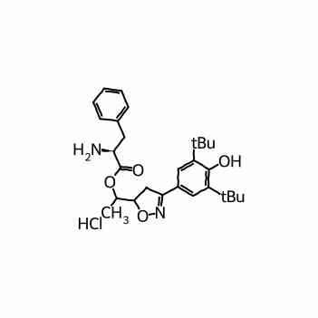 CC(OC(=O)[C@@H](N)Cc1ccccc1)C1CC(c2cc(C(C)(C)C)c(O)c(C(C)(C)C)c2)=NO1.Cl